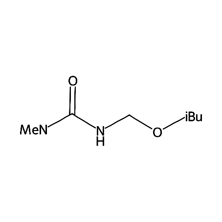 CCC(C)OCNC(=O)NC